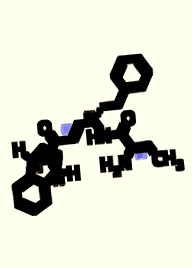 C/C=C(\N)C(=O)N[C@H](/C=C/C(=O)N1[C@@H]2CC[C@H]1c1ccccc12)CCc1ccccc1